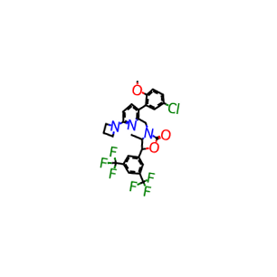 COc1ccc(Cl)cc1-c1ccc(N2CCC2)nc1CN1C(=O)OC(c2cc(C(F)(F)F)cc(C(F)(F)F)c2)C1C